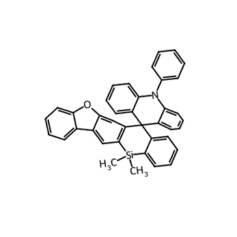 C[Si]1(C)c2ccccc2C2(c3ccccc3N(c3ccccc3)c3ccccc32)c2cc3oc4ccccc4c3cc21